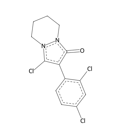 O=c1c(-c2ccc(Cl)cc2Cl)c(Cl)n2n1CCCC2